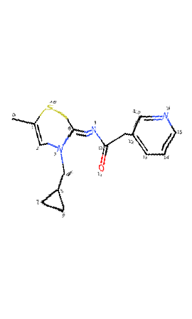 Cc1cn(CC2CC2)/c(=N\C(=O)c2cccnc2)s1